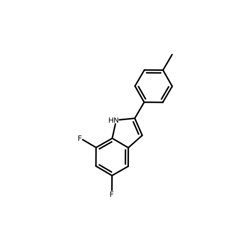 Cc1ccc(-c2cc3cc(F)cc(F)c3[nH]2)cc1